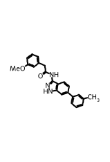 COc1cccc(CC(=O)Nc2n[nH]c3cc(-c4cccc(C)c4)ccc23)c1